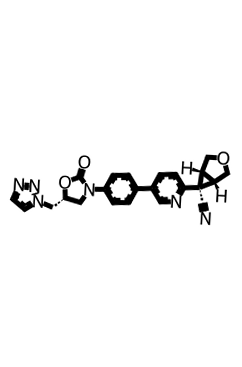 N#C[C@]1(c2ccc(-c3ccc(N4C[C@H](Cn5ccnn5)OC4=O)cc3)cn2)[C@@H]2COC[C@@H]21